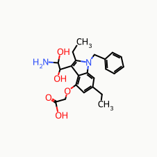 CCc1cc(OCC(=O)O)c2c(C(O)C(N)O)c(CC)n(Cc3ccccc3)c2c1